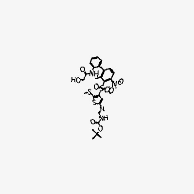 CSc1sc(/N=C/NC(=O)OC(C)(C)C)cc1S(=O)(=O)c1c([N+](=O)[O-])ccc(-c2ccccc2NC(=O)CO)c1C